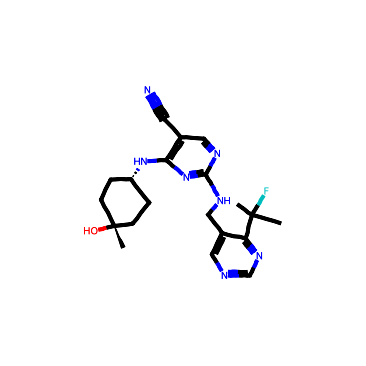 CC(C)(F)c1ncncc1CNc1ncc(C#N)c(N[C@H]2CC[C@@](C)(O)CC2)n1